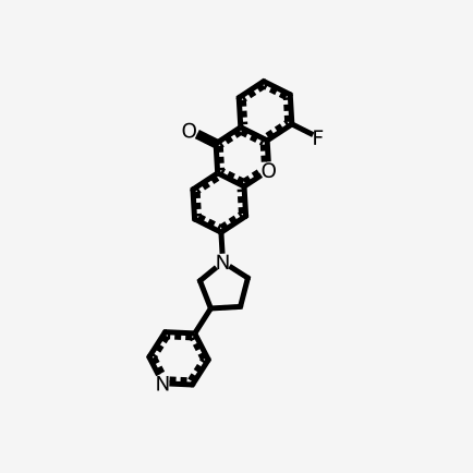 O=c1c2ccc(N3CCC(c4ccncc4)C3)cc2oc2c(F)cccc12